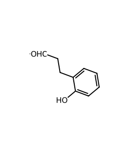 O=[C]CCc1ccccc1O